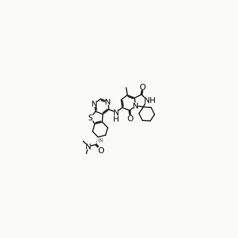 Cc1cc(Nc2ncnc3sc4c(c23)CC[C@H](C(=O)N(C)C)C4)c(=O)n2c1C(=O)NC21CCCCC1